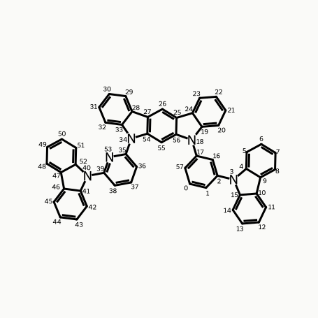 c1cc(-n2c3ccccc3c3ccccc32)cc(-n2c3ccccc3c3cc4c5ccccc5n(-c5cccc(-n6c7ccccc7c7ccccc76)n5)c4cc32)c1